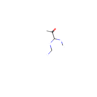 BNC(NCN)C(=O)C(C)C